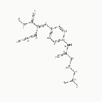 COC(=O)/C(=C/c1ccc(NC(=O)COCC(C)C)cc1)N=[N+]=[N-]